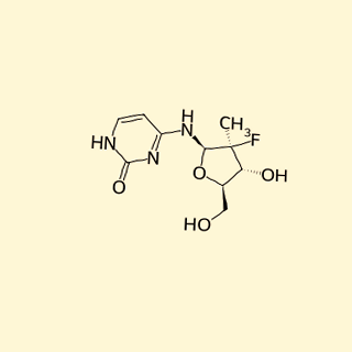 C[C@@]1(F)[C@H](Nc2cc[nH]c(=O)n2)O[C@H](CO)[C@H]1O